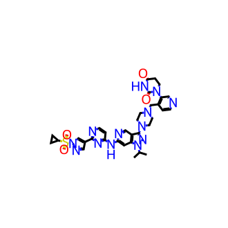 CC(C)n1nc(N2CCN(Cc3ccncc3N3CCC(=O)NC3=O)CC2)c2cnc(Nc3ccnc(-c4cnn(S(=O)(=O)C5CC5)c4)n3)cc21